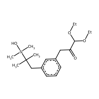 CCOC(OCC)C(=O)Cc1cccc(CC(C)(C)[Si](C)(C)O)c1